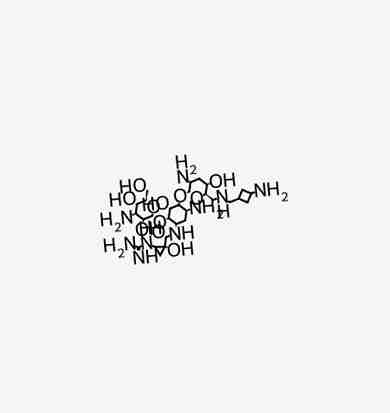 N=C(N)NC1CC1(O)C(=O)N[C@@H]1C[C@H](N)C(O[C@H]2O[C@H](CNCC3CC(N)C3)[C@@H](O)C[C@H]2N)[C@H](O)[C@H]1O[C@H]1O[C@H](CO)[C@@H](O)[C@H](N)[C@H]1O